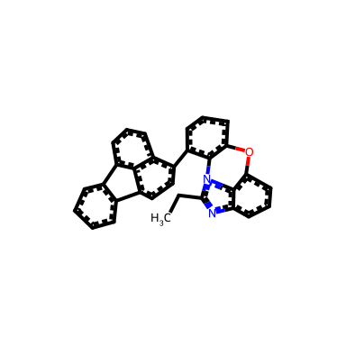 CCc1nc2cccc3c2n1-c1c(cccc1-c1ccc2c4c(cccc14)-c1ccccc1-2)O3